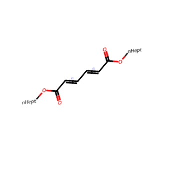 CCCCCCCOC(=O)/C=C/C=C/C(=O)OCCCCCCC